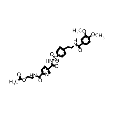 COc1ccc(C(=O)NCCc2ccc(S(=O)(=O)NC(=O)c3ccc(C(=O)NCCOC(C)=O)nc3)cc2)cc1OC